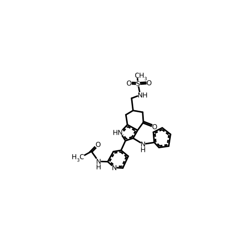 CC(=O)Nc1cc(-c2[nH]c3c(c2Nc2ccccc2)C(=O)CC(CNS(C)(=O)=O)C3)ccn1